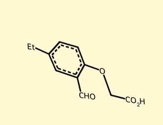 CCc1ccc(OCC(=O)O)c(C=O)c1